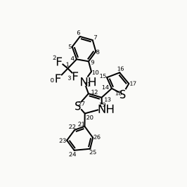 FC(F)(F)c1ccccc1CNC1=C(c2cccs2)NC(c2ccccc2)S1